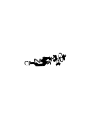 CC(C)N(C(=O)OC(C)(C)C)C1CCN(c2ccc3nc(Cl)ccc3n2)C1